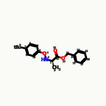 C[C@H](NOc1ccc(C(C)(C)C)cc1)C(=O)OCc1ccccc1